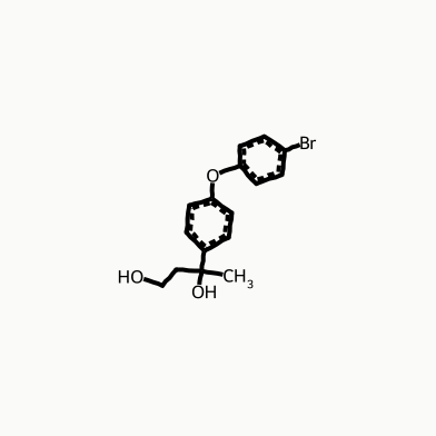 CC(O)(CCO)c1ccc(Oc2ccc(Br)cc2)cc1